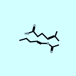 CC(C)=CCCC(=O)O.CCCC=COC(C)=O